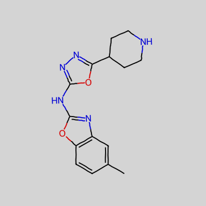 Cc1ccc2oc(Nc3nnc(C4CCNCC4)o3)nc2c1